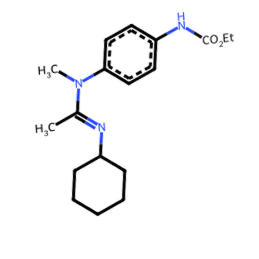 CCOC(=O)Nc1ccc(N(C)C(C)=NC2CCCCC2)cc1